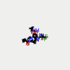 CC1(NS(=O)(=O)c2cc(N3CCN(C(=O)C4CCC4)CC3)c3c(C4CC4)nn(-c4nnc(C(F)F)s4)c3c2)CC1